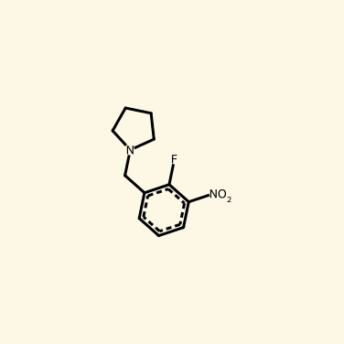 O=[N+]([O-])c1cccc(CN2CCCC2)c1F